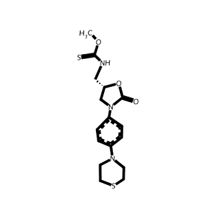 COC(=S)NC[C@H]1CN(c2ccc(N3CCSCC3)cc2)C(=O)O1